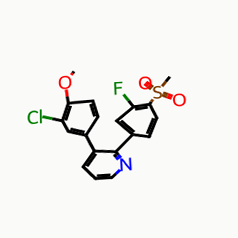 COc1ccc(-c2cccnc2-c2ccc(S(C)(=O)=O)c(F)c2)cc1Cl